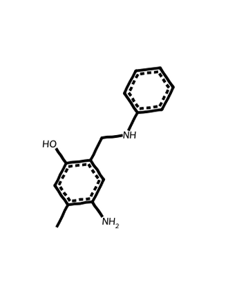 Cc1cc(O)c(CNc2ccccc2)cc1N